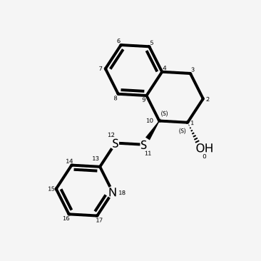 O[C@H]1CCc2ccccc2[C@@H]1SSc1ccccn1